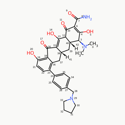 CN(C)[C@@H]1C(O)=C(C(N)=O)C(=O)C2C(O)=C3C(=O)c4c(O)ccc(-c5ccc(CN6CCCC6)cc5)c4C[C@H]3C[C@H]21